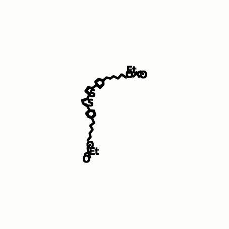 CCC1(COCCCCCCc2ccc(-c3ccc(-c4ccc(-c5ccc(CCCCCCOCC6(CC)COC6)cc5)s4)s3)cc2)COC1